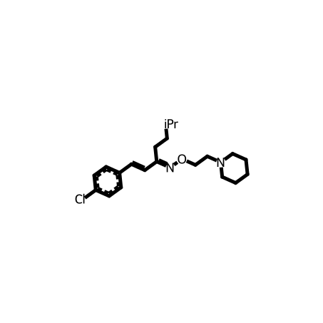 CC(C)CCC(/C=C/c1ccc(Cl)cc1)=N\OCCN1CCCCC1